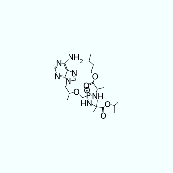 CCCCOC(=O)C(C)NP(=O)(COC(C)Cn1cnc2c(N)ncnc21)NC(C)(C)C(=O)OC(C)C